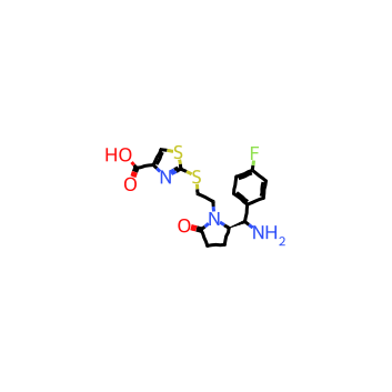 NC(c1ccc(F)cc1)[C@H]1CCC(=O)N1CCSc1nc(C(=O)O)cs1